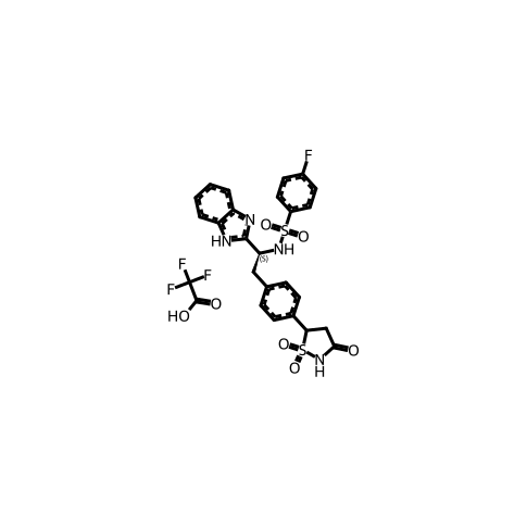 O=C(O)C(F)(F)F.O=C1CC(c2ccc(C[C@H](NS(=O)(=O)c3ccc(F)cc3)c3nc4ccccc4[nH]3)cc2)S(=O)(=O)N1